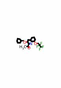 CC(=O)c1nc2c(OCC(F)(F)C(F)F)cccc2cc1OCc1ccccc1